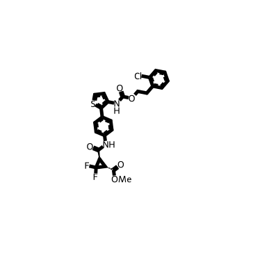 COC(=O)[C@H]1[C@H](C(=O)Nc2ccc(-c3sccc3NC(=O)OCCc3ccccc3Cl)cc2)C1(F)F